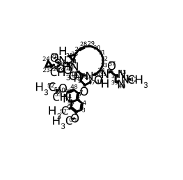 COc1ccc2c(O[C@@H]3C[C@H]4C(=O)N[C@]5(C(=O)NS(=O)(=O)C6(C)CC6)CC5/C=C\CCCCC[C@H](NC(=O)c5cnn(C)n5)C(=O)N4C3)cc(OC(C)C)nc2c1C